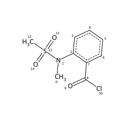 CN(c1ccccc1C(=O)Cl)S(C)(=O)=O